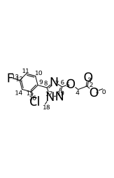 COC(=O)COc1nc(-c2ccc(F)cc2Cl)n(C)n1